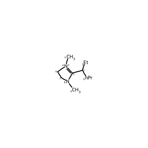 CCCC(CC)C1=[N+](C)CCN1C